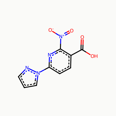 O=C(O)c1ccc(-n2cccn2)nc1[N+](=O)[O-]